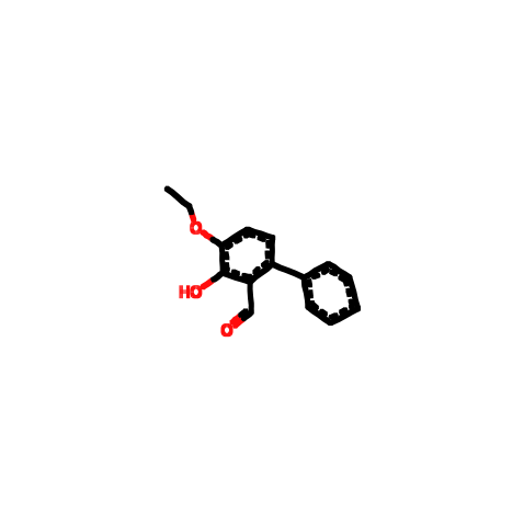 CCOc1ccc(-c2ccccc2)c(C=O)c1O